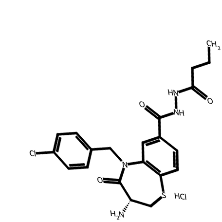 CCCC(=O)NNC(=O)c1ccc2c(c1)N(Cc1ccc(Cl)cc1)C(=O)[C@@H](N)CS2.Cl